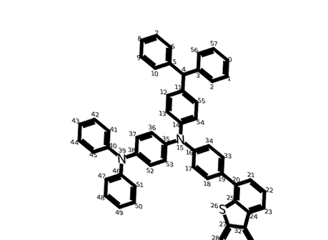 c1ccc(C(c2ccccc2)c2ccc(N(c3ccc(-c4cccc5c4sc4ccccc45)cc3)c3ccc(N(c4ccccc4)c4ccccc4)cc3)cc2)cc1